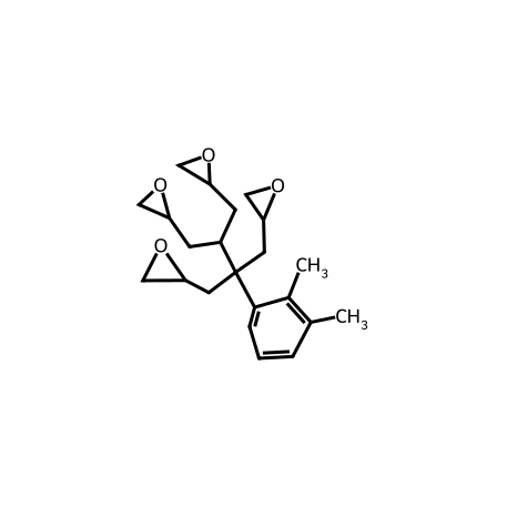 Cc1cccc(C(CC2CO2)(CC2CO2)C(CC2CO2)CC2CO2)c1C